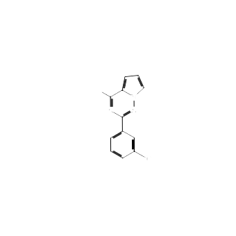 CC(C)c1cccc(-c2nc(C(=O)O)c3cccn3n2)c1